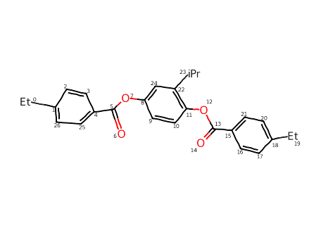 CCc1ccc(C(=O)Oc2ccc(OC(=O)c3ccc(CC)cc3)c(C(C)C)c2)cc1